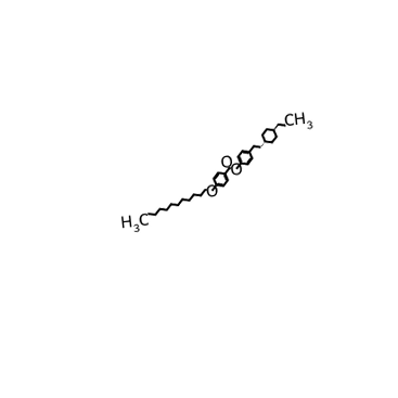 CCCCCCCCCCCCOc1ccc(C(=O)Oc2ccc(CC[C@H]3CC[C@H](CCC)CC3)cc2)cc1